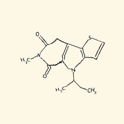 CC(C)n1c2c(c3sccc31)CC(=O)N(C)C2=O